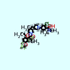 C=CCO[C@@](C(=O)N1CCC(C)(CC2CCN(c3ccc(C(O)N(C)C)c(Cl)c3)CC2)CC1)(c1cccc(OC(F)(F)F)c1)C(C)(F)F